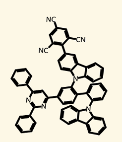 N#Cc1cc(C#N)c(-c2ccc3c(c2)c2ccccc2n3-c2cc(-c3cc(-c4ccccc4)nc(-c4ccccc4)n3)ccc2-c2ccccc2-n2c3ccccc3c3ccccc32)c(C#N)c1